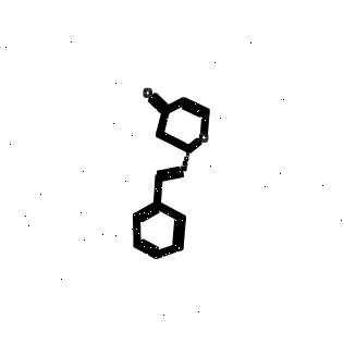 O=C1C=CO[C@H](/C=C/c2ccccc2)C1